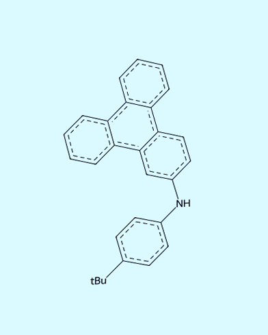 CC(C)(C)c1ccc(Nc2ccc3c4ccccc4c4ccccc4c3c2)cc1